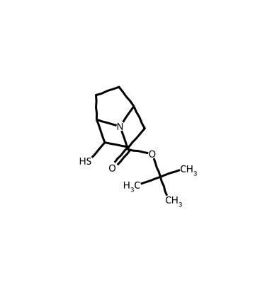 CC(C)(C)OC(=O)N1C2CCC(S)C1CC2